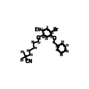 CCc1cc(Br)c(OCc2ccccc2)cc1OCCCCCC(C)(C)C#N